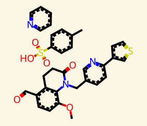 COc1ccc(C=O)c2c1N(Cc1ccc(-c3ccsc3)nc1)C(=O)CC2.Cc1ccc(S(=O)(=O)O)cc1.c1ccncc1